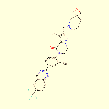 Cc1cc(-c2ncc3cc(C(F)(F)F)ccc3n2)ccc1N1CCn2nc(CN3CCCC4(COC4)C3)c(C)c2C1=O